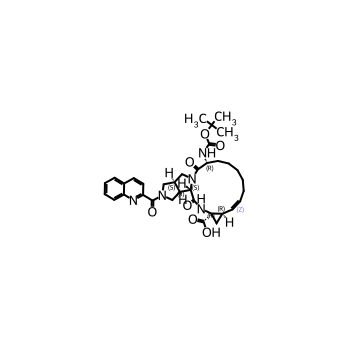 CC(C)(C)OC(=O)N[C@@H]1CCCCC/C=C\[C@H]2C[C@@]2(C(=O)O)NC(=O)[C@@H]2[C@H]3CN(C(=O)c4ccc5ccccc5n4)C[C@H]3CN2C1=O